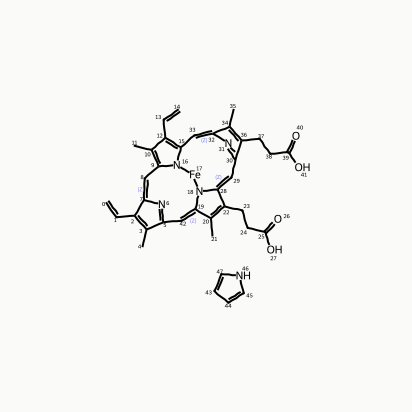 C=CC1=C(C)C2=NC/1=C\c1c(C)c(C=C)c3[n]1[Fe][n]1/c(c(C)c(CCC(=O)O)/c1=C/C1=NC(=C\3)/C(C)=C1CCC(=O)O)=C\2.c1cc[nH]c1